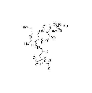 N[C@H]1C(O)O[C@H](CO)[C@@H](O)[C@@H]1O.O=C(O)CC(O)(CC(=O)O)C(=O)O.O=C([O-])c1ccccc1.O=S(=O)(O)O.[Na+]